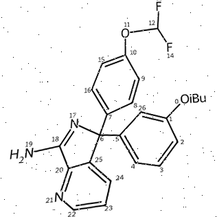 CC(C)COc1cccc(C2(c3ccc(OC(F)F)cc3)N=C(N)c3ncccc32)c1